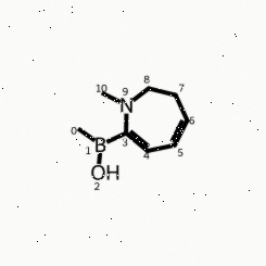 CB(O)C1=CC=CCCN1C